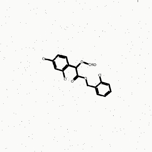 O=[C]OC(C(=O)OCc1ccccc1Cl)c1ccc(Cl)cc1Cl